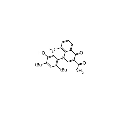 CC(C)(C)c1cc(C(C)(C)C)c(-n2cc(C(N)=O)c(=O)c3cccc(C(F)(F)F)c32)cc1O